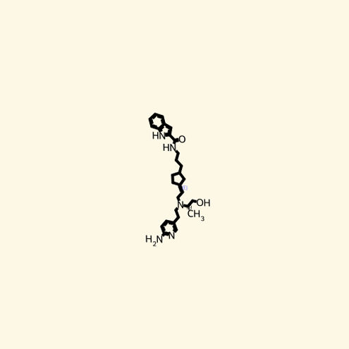 C[C@@H](CO)N(C/C=C1\CCC(CCCNC(=O)c2cc3ccccc3[nH]2)C1)CCc1ccc(N)nc1